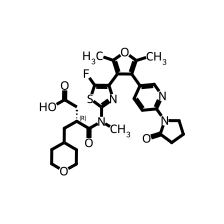 Cc1oc(C)c(-c2nc(N(C)C(=O)[C@@H](CC(=O)O)CC3CCOCC3)sc2F)c1-c1ccc(N2CCCC2=O)nc1